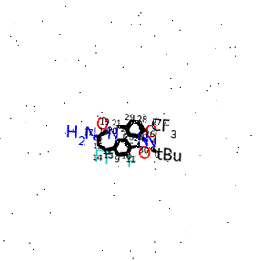 CC(C)(C)c1nnc(-c2cc3c(cc2F)C(F)(F)CC(N)C(=O)N3Cc2ccc(OC(F)(F)F)cc2)o1